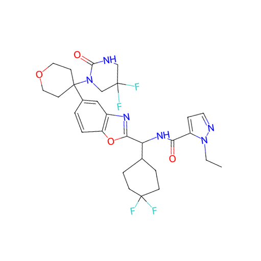 CCn1nccc1C(=O)NC(c1nc2cc(C3(N4CC(F)(F)CNC4=O)CCOCC3)ccc2o1)C1CCC(F)(F)CC1